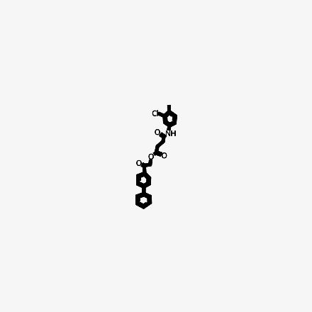 Cc1ccc(NC(=O)CCC(=O)OCC(=O)c2ccc(-c3ccccc3)cc2)cc1Cl